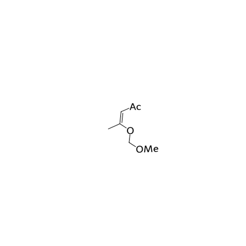 COCO/C(C)=C\C(C)=O